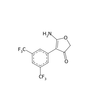 NC1=C(c2cc(C(F)(F)F)cc(C(F)(F)F)c2)C(=O)CO1